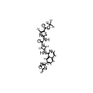 Cc1nc(-c2ccc3ccnc(NC4CN(C(=O)Nc5nc(C)c(C(=O)OC(C)(C)C)s5)C4)c3c2)no1